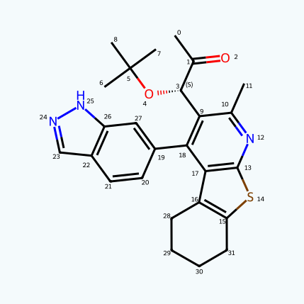 CC(=O)[C@@H](OC(C)(C)C)c1c(C)nc2sc3c(c2c1-c1ccc2cn[nH]c2c1)CCCC3